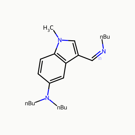 CCCC/N=C\c1cn(C)c2ccc(N(CCCC)CCCC)cc12